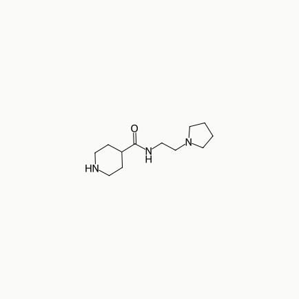 O=C(NCCN1CCCC1)C1CCNCC1